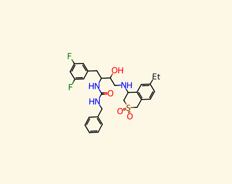 CCc1ccc2c(c1)C(NCC(O)C(Cc1cc(F)cc(F)c1)NC(=O)NCc1ccccc1)CS(=O)(=O)C2